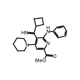 COC(=O)c1cc(N2CCCCC2)c(C(=N)C2CCC2)c(Nc2ccccc2)n1